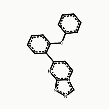 c1ccc(Oc2ccccc2-c2ccn3cnnc3n2)cc1